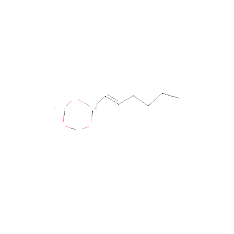 CCCCC=C[SiH]1O[SiH2]O[SiH2]O1